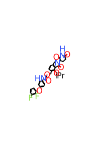 CC(C)Oc1c(COC(=O)Nc2ccc(Oc3cccc(F)c3F)cc2)ccc2c1C(=O)N(C1CCC(=O)NC1=O)C2